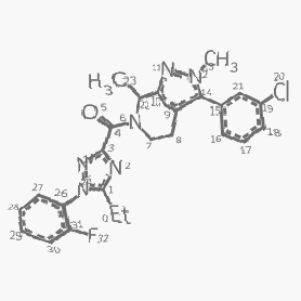 CCc1nc(C(=O)N2CCc3c(nn(C)c3-c3cccc(Cl)c3)C2C)nn1-c1ccccc1F